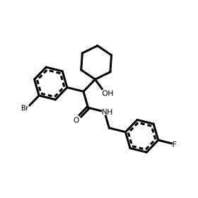 O=C(NCc1ccc(F)cc1)C(c1cccc(Br)c1)C1(O)CCCCC1